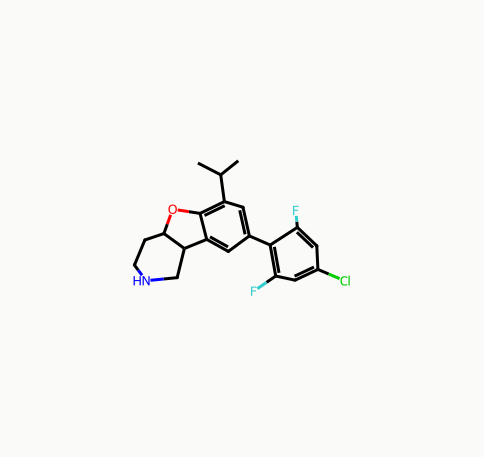 CC(C)c1cc(-c2c(F)cc(Cl)cc2F)cc2c1OC1CCNCC21